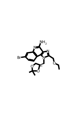 CCOCc1nc2c(N)nc3cc(Br)ccc3c2n1C[C@@H]1COC(C)(C)O1